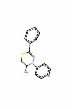 OC1CSC(c2ccccc2)=NN1c1ccccc1